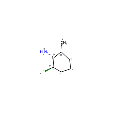 C[C@@H]1CCC[C@@H](F)[C@@H]1N